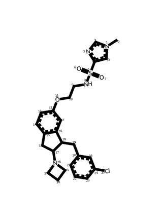 Cn1cnc(S(=O)(=O)NCCOc2ccc3c(c2)C(Cc2cccc(Cl)c2)C(N2CCC2)C3)c1